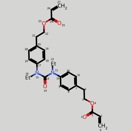 C=CC(=O)OCCc1ccc(N(CC)C(=O)N(CC)c2ccc(CCOC(=O)C=C)cc2)cc1